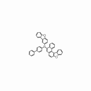 c1ccc(-c2ccc(N(c3ccc4oc5ccccc5c4c3)c3cc4ccc5oc6ccccc6c5c4c4ccccc34)cc2)cc1